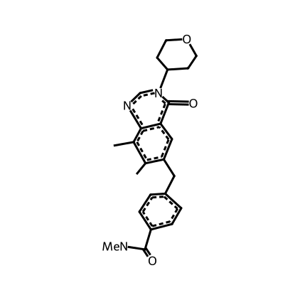 CNC(=O)c1ccc(Cc2cc3c(=O)n(C4CCOCC4)cnc3c(C)c2C)cc1